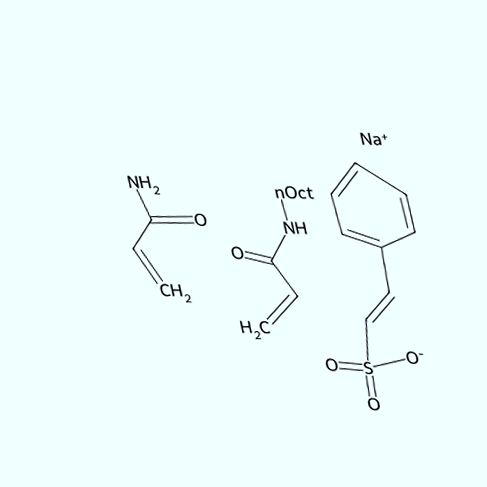 C=CC(=O)NCCCCCCCC.C=CC(N)=O.O=S(=O)([O-])C=Cc1ccccc1.[Na+]